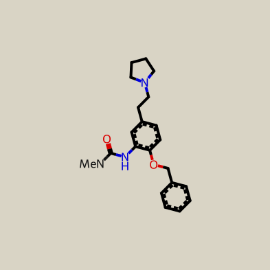 CNC(=O)Nc1cc(CCN2CCCC2)ccc1OCc1ccccc1